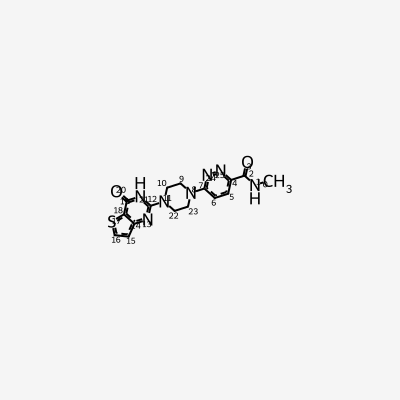 CNC(=O)c1ccc(N2CCN(c3nc4ccsc4c(=O)[nH]3)CC2)nn1